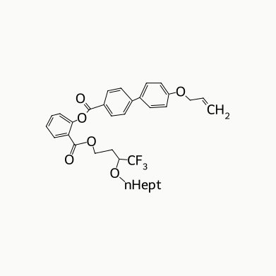 C=CCOc1ccc(-c2ccc(C(=O)Oc3ccccc3C(=O)OCCC(OCCCCCCC)C(F)(F)F)cc2)cc1